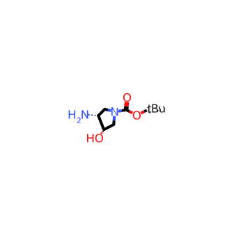 CC(C)(C)OC(=O)N1C[C@@H](N)[C@@H](O)C1